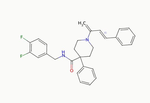 C=C(/C=C/c1ccccc1)N1CCC(C(=O)NCc2ccc(F)c(F)c2)(c2ccccc2)CC1